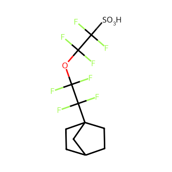 O=S(=O)(O)C(F)(F)C(F)(F)OC(F)(F)C(F)(F)C12CCC(CC1)C2